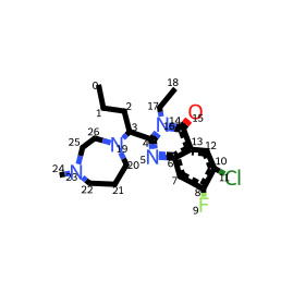 CCCC(c1nc2cc(F)c(Cl)cc2c(=O)n1CC)N1CCCN(C)CC1